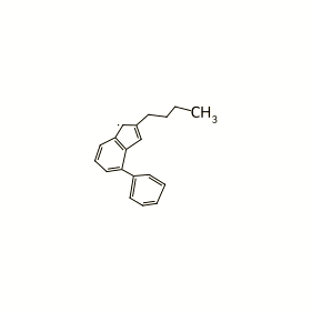 CCCCC1=Cc2c(cccc2-c2ccccc2)[CH]1